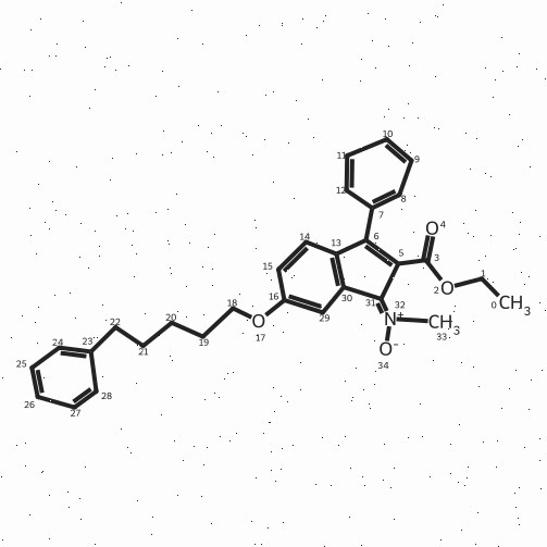 CCOC(=O)C1=C(c2ccccc2)c2ccc(OCCCCCc3ccccc3)cc2/C1=[N+](/C)[O-]